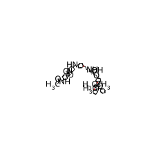 CC(=O)Nc1ccc(S(=O)(=O)N2CCC(Nc3ccc(CCNC[C@H](O)COc4ccc(O[Si](c5ccccc5)(c5ccccc5)C(C)(C)C)cc4)cc3)CC2)cc1